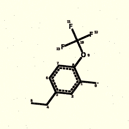 [CH2]c1cc(CC)ccc1OC(F)(F)F